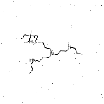 CCCN(C)CCCN(CCCNC(C)CC)CCC[SiH2]OC(C)(CC)CC